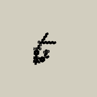 CCCCCCCCC(CCCCCC)C(=O)OCC(=O)Nc1ccc(-c2nc3n(n2)N=C(C)/C3=N/c2ccc(N(CC)CCS(C)(=O)=O)cc2C)cc1